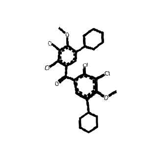 COc1c(C2CCCCC2)cc(C(=O)c2cc(C3CCCCC3)c(OC)c(Cl)c2Cl)c(Cl)c1Cl